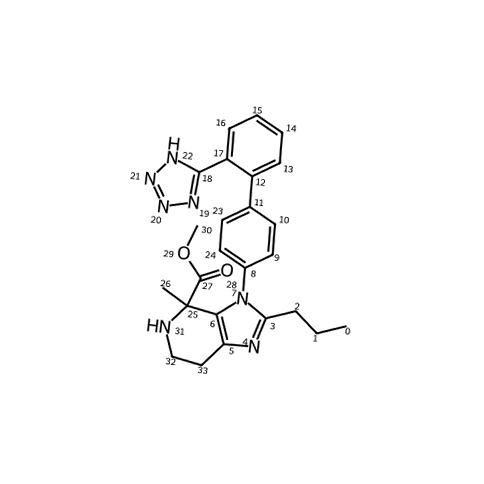 CCCc1nc2c(n1-c1ccc(-c3ccccc3-c3nnn[nH]3)cc1)C(C)(C(=O)OC)NCC2